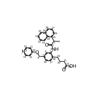 CC(C(=O)Nc1cc(COc2ccncc2)ccc1CCCC(=O)O)c1cccc2ccccc12